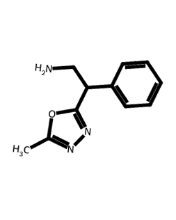 Cc1nnc(C(CN)c2ccccc2)o1